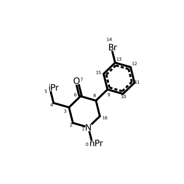 CCCN1CC(CC(C)C)C(=O)C(c2cccc(Br)c2)C1